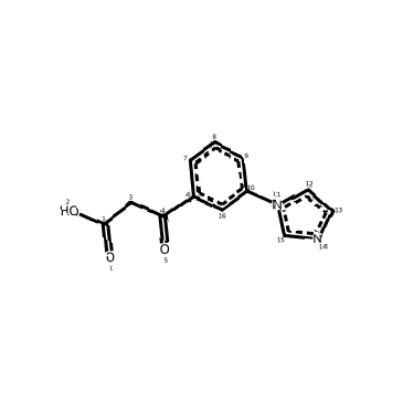 O=C(O)CC(=O)c1cccc(-n2ccnc2)c1